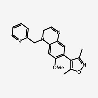 COc1cc2c(cc1-c1c(C)noc1C)N=CCN2Cc1ccccn1